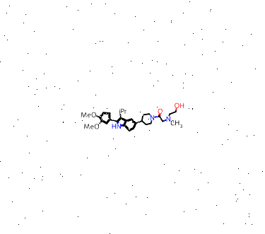 COc1ccc(-c2[nH]c3ccc(C4CCN(C(=O)CN(C)CCO)CC4)cc3c2C(C)C)cc1OC